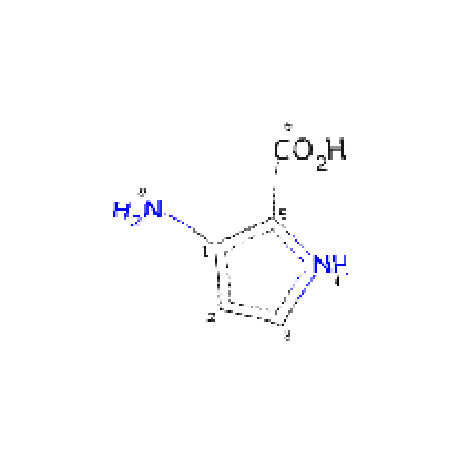 Nc1cc[nH]c1C(=O)O